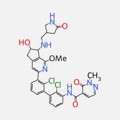 COc1nc(-c2cccc(-c3cccc(NC(=O)c4ccnn(C)c4=O)c3Cl)c2Cl)cc2c1C(NCC1CNC(=O)C1)C(O)C2